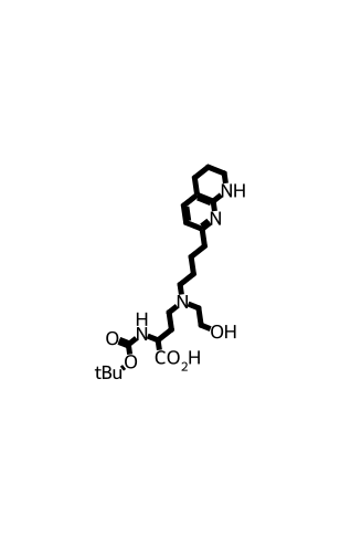 CC(C)(C)OC(=O)NC(CCN(CCO)CCCCc1ccc2c(n1)NCCC2)C(=O)O